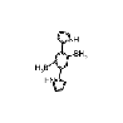 Bc1cc(-c2ccc[nH]2)c(B)cc1-c1ccc[nH]1